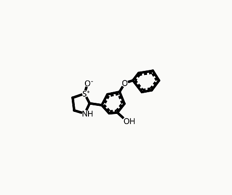 [O-][S+]1CCNC1c1cc(O)cc(Oc2ccccc2)c1